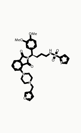 COc1ccc([C@@H](CCCNS(=O)(=O)c2cccs2)N2C(=O)c3cccc(N4CCN(Cc5ccoc5)CC4)c3C2=O)cc1OC